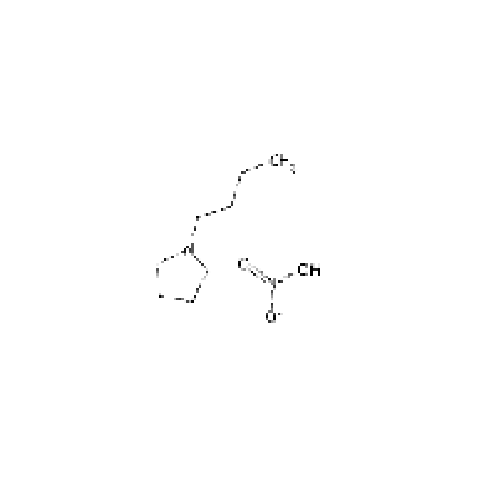 CCCCN1CCCC1.O=[N+]([O-])O